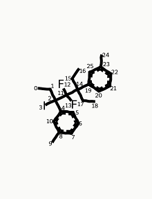 CCC(I)(c1cccc(C)c1)C(F)(F)C(CC)(CC)c1cccc(C)c1